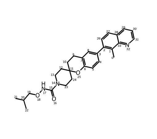 Cc1c(-c2ccc3c(c2)CCC2(CCN(C(=O)NOCC(C)C)CC2)O3)ccc2cccnc12